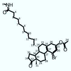 CNC(=O)CCCCCCCCCC[C@@H]1CC2=C(C(Br)=C=C(OC(C)=O)C2)C2CC[C@]3(C)C(=O)CCC3C21